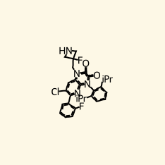 CC(C)c1cccc(C(C)C)c1-n1c(=O)c(=O)n(CC2(F)CNC2)c2cc(Cl)c(-c3ccccc3F)nc21